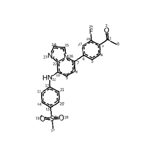 CC(=O)c1ccc(-c2ccc(Nc3ccc(S(C)(=O)=O)cc3)c3nccn23)cc1F